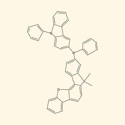 CC1(C)c2cc(N(c3ccccc3)c3ccc4c(c3)c3ccccc3n4-c3ccccc3)ccc2-c2c1ccc1c2oc2ccccc21